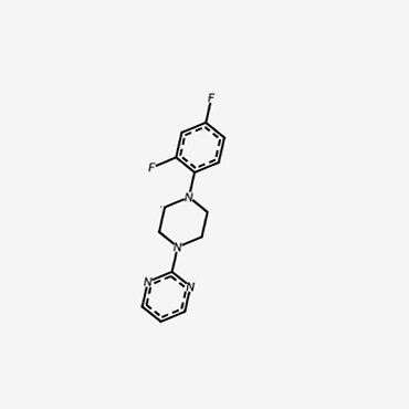 Fc1ccc(N2[CH]CN(c3ncccn3)CC2)c(F)c1